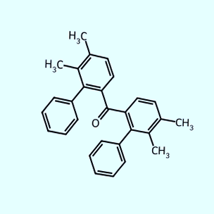 Cc1ccc(C(=O)c2ccc(C)c(C)c2-c2ccccc2)c(-c2ccccc2)c1C